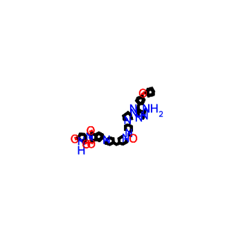 Nc1ncnc2c1c(-c1ccc(Oc3ccccc3)cc1)nn2C1CCCN(C2CCN(C(=O)N3CCC(CC4CCN(c5ccc6c(c5)C(=O)N(C5CCC(=O)NC5=O)C6=O)CC4)CC3)CC2)C1